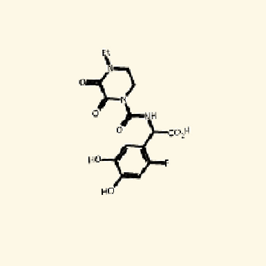 CCN1CCN(C(=O)NC(C(=O)O)c2cc(O)c(O)cc2F)C(=O)C1=O